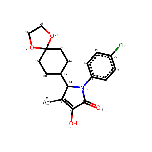 CC(=O)C1=C(O)C(=O)N(c2ccc(Cl)cc2)C1C1CCC2(CC1)OCCO2